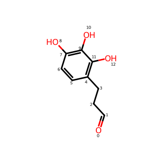 O=CCCc1ccc(O)c(O)c1O